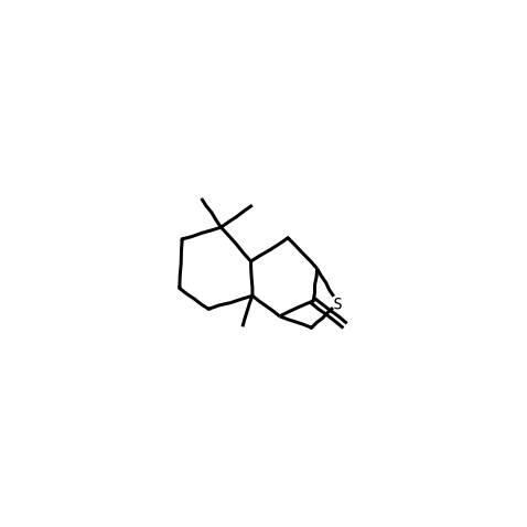 C=C1C2CC3C(C)(C)CCCC3(C)C1CS2